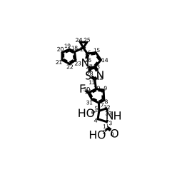 O=C(O)[C@@H]1C[C@@](O)(c2ccc(-c3nc4ccc(C5(c6ccccc6)CC5)nc4s3)c(F)c2)CN1